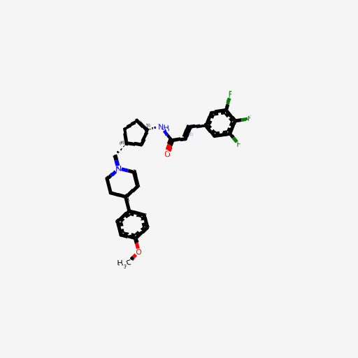 COc1ccc(C2CCN(C[C@@H]3CC[C@H](NC(=O)/C=C/c4cc(F)c(F)c(F)c4)C3)CC2)cc1